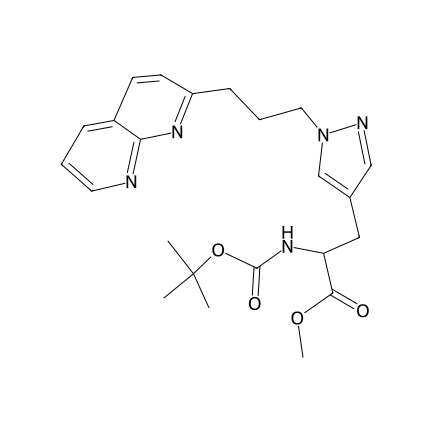 COC(=O)C(Cc1cnn(CCCc2ccc3cccnc3n2)c1)NC(=O)OC(C)(C)C